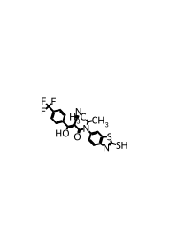 CC(C)N(C(=O)/C(C#N)=C(\O)c1ccc(C(F)(F)F)cc1)c1ccc2nc(S)sc2c1